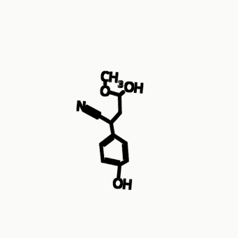 COC(O)CC(C#N)c1ccc(O)cc1